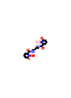 O=C(NCCCCNC(=O)c1cccc(=O)n1O)c1cccc(=O)n1O